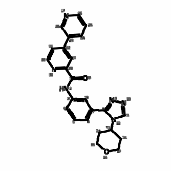 O=C(Nc1cccc(-c2nncn2C2CCOCC2)c1)c1cc(-c2cccnc2)ccn1